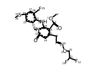 COC(=O)c1c(CC=NOCC(F)F)cc(=O)n(C)c1Nc1ccc(SC)cc1F